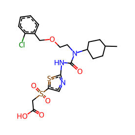 CC1CCC(N(CCOCc2ccccc2Cl)C(=O)Nc2ncc(S(=O)(=O)CC(=O)O)s2)CC1